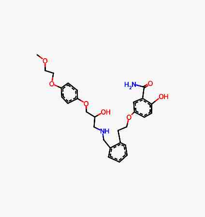 COCCOc1ccc(OCC(O)CNCc2ccccc2CCOc2ccc(O)c(C(N)=O)c2)cc1